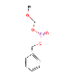 CCOCO[PH](=O)OCc1ccccc1